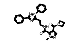 Cn1ncc(C(=O)N2CCC2)c1C(=O)NCCc1nc(-c2ccccc2)nn1-c1ccccc1